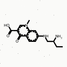 CCC(N)CNc1ccc2c(=O)c(C(=O)O)cn(C)c2c1